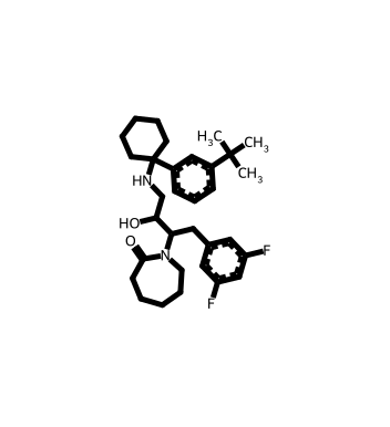 CC(C)(C)c1cccc(C2(NCC(O)C(Cc3cc(F)cc(F)c3)N3CCCCCC3=O)CCCCC2)c1